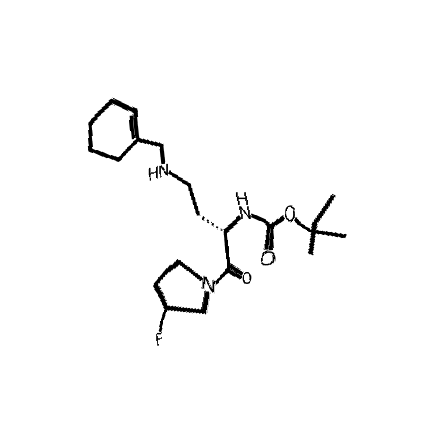 CC(C)(C)OC(=O)N[C@@H](CCNCC1=CCCCC1)C(=O)N1CCC(F)C1